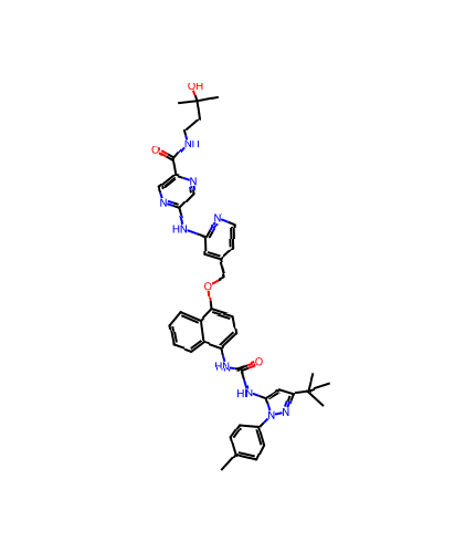 Cc1ccc(-n2nc(C(C)(C)C)cc2NC(=O)Nc2ccc(OCc3ccnc(Nc4cnc(C(=O)NCCC(C)(C)O)cn4)c3)c3ccccc23)cc1